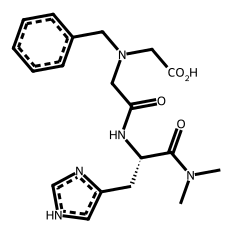 CN(C)C(=O)[C@H](Cc1c[nH]cn1)NC(=O)CN(CC(=O)O)Cc1ccccc1